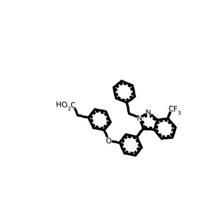 O=C(O)Cc1cccc(Oc2cccc(-c3c4cccc(C(F)(F)F)c4nn3Cc3ccccc3)c2)c1